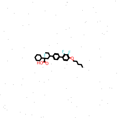 CCCCCOc1ccc(-c2ccc(C(CC)C[C@@](F)(C(=O)O)C3CCCCC3)cc2)c(F)c1F